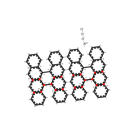 [Al+3].[Cl-].[Cl-].[Cl-].c1ccc(P(c2ccccc2)c2ccc3ccccc3c2-c2c(P(c3ccccc3)c3ccccc3)ccc3ccccc23)cc1.c1ccc(P(c2ccccc2)c2ccc3ccccc3c2-c2c(P(c3ccccc3)c3ccccc3)ccc3ccccc23)cc1